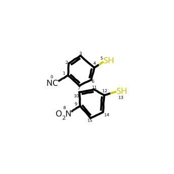 N#Cc1ccc(S)cc1.O=[N+]([O-])c1ccc(S)cc1